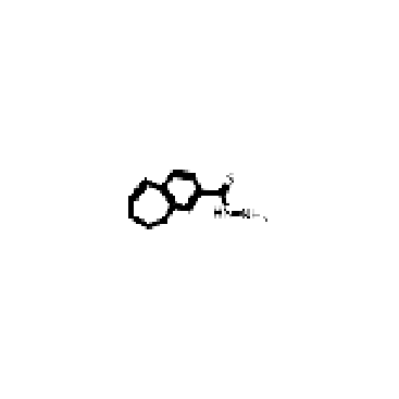 NNC(=S)c1ccc2c(c1)CCCC=C2